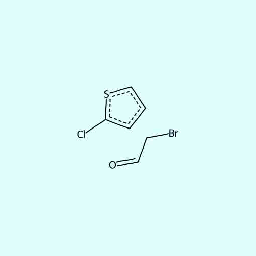 Clc1cccs1.O=CCBr